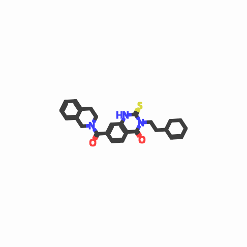 O=C(c1ccc2c(=O)n(CCC3C=CCCC3)c(=S)[nH]c2c1)N1CCc2ccccc2C1